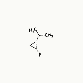 CC(C)[C@H]1C[C@H]1F